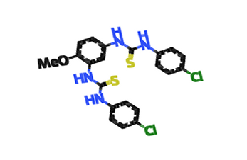 COc1ccc(NC(=S)Nc2ccc(Cl)cc2)cc1NC(=S)Nc1ccc(Cl)cc1